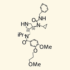 COCCCOc1cc(C(=O)N(C[C@@H]2CNC[C@H]2CN(C(=O)NCc2ccccc2)C2CC2)C(C)C)ccc1OC